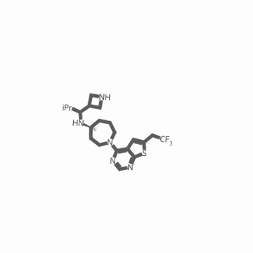 CC(C)C(N[C@H]1CCCN(c2ncnc3sc(CC(F)(F)F)cc23)CC1)C1CNC1